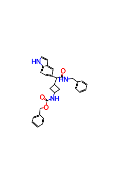 O=C(NC1CC(C(C(=O)NCc2ccccc2)c2ccc3[nH]ccc3c2)C1)OCc1ccccc1